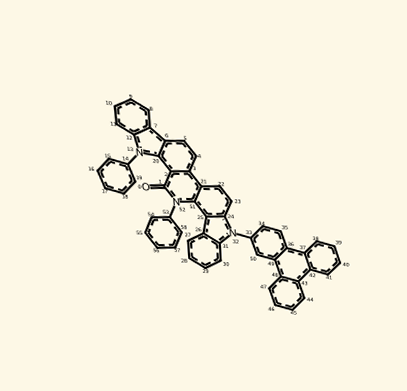 O=c1c2c(ccc3c4ccccc4n(-c4ccccc4)c32)c2ccc3c(c4ccccc4n3-c3ccc4c5ccccc5c5ccccc5c4c3)c2n1-c1ccccc1